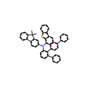 CC1(C)c2ccccc2-c2ccc(N(c3cccc(-c4ccccc4)c3-c3ccc(-c4ccccc4)cc3)c3cccc4c3sc3ccccc34)cc21